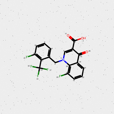 O=C(O)c1cn(Cc2cccc(F)c2C(F)(F)F)c2c(F)cccc2c1=O